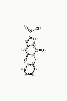 O=C(O)c1cc2[nH]c(=O)n(Cc3ccccc3)c(=O)c2s1